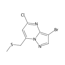 CSCc1cc(Cl)nc2c(Br)cnn12